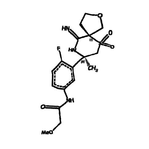 COCC(=O)Nc1ccc(F)c([C@]2(C)CS(=O)(=O)[C@]3(CCOC3)C(=N)N2)c1